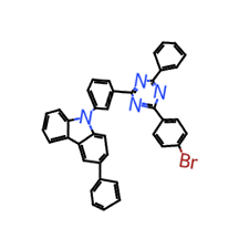 Brc1ccc(-c2nc(-c3ccccc3)nc(-c3cccc(-n4c5ccccc5c5cc(-c6ccccc6)ccc54)c3)n2)cc1